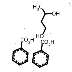 CC(O)CCO.O=C(O)c1ccccc1.O=C(O)c1ccccc1